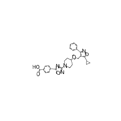 O=C(O)c1ccc(-c2nc(N3CCC(OCc4c(-c5ccccc5)noc4C4CC4)CC3)no2)cc1